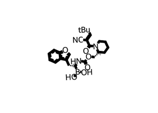 CC(C)(C)C=C(C#N)C(=O)N1CCCC[C@@H]1COC(=O)N[C@@H](Cc1coc2ccccc12)B(O)O